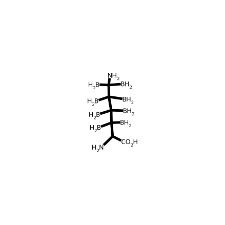 BC(B)(N)C(B)(B)C(B)(B)C(B)(B)C(N)C(=O)O